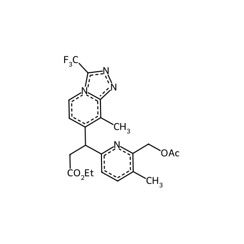 CCOC(=O)CC(c1ccc(C)c(COC(C)=O)n1)c1ccn2c(C(F)(F)F)nnc2c1C